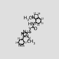 CCn1c(SCC(=O)Nc2cccc3c2N(C)CC3)nnc1-c1ccncc1